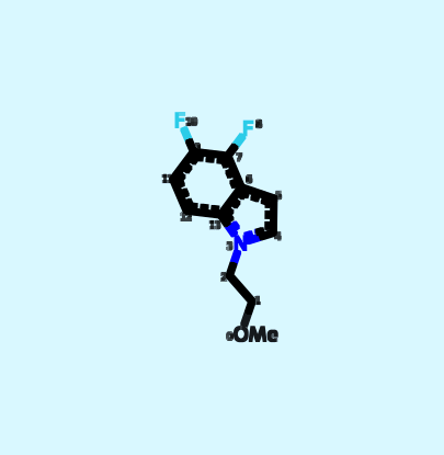 COCCn1ccc2c(F)c(F)ccc21